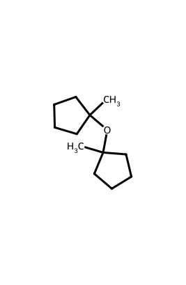 CC1(OC2(C)CCCC2)CCCC1